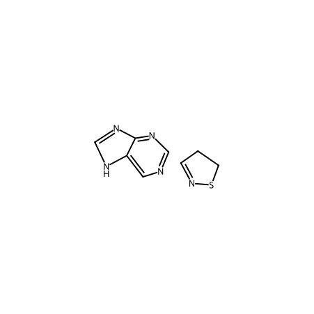 C1=NSCC1.c1ncc2[nH]cnc2n1